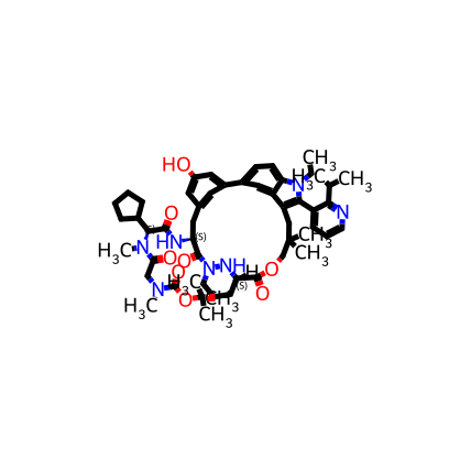 CCn1c(-c2cccnc2C(C)C)c2c3cc(ccc31)-c1cc(O)cc(c1)C[C@H](NC(=O)[C@H](C1CCCC1)N(C)C(=O)CN(C)C(=O)OC(C)(C)C)C(=O)N1CCC[C@H](N1)C(=O)OCC(C)(C)C2